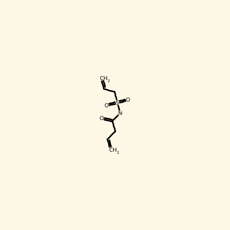 C=CCC(=O)[N]S(=O)(=O)CC=C